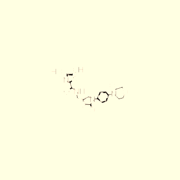 Cc1nc(C(=O)NC[C@H]2CN(c3ccc(N4CCOCC4=O)cc3)C(=O)O2)sc1C